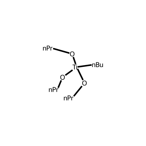 CCC[CH2][Ti]([O]CCC)([O]CCC)[O]CCC